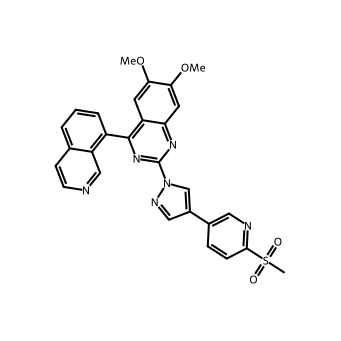 COc1cc2nc(-n3cc(-c4ccc(S(C)(=O)=O)nc4)cn3)nc(-c3cccc4ccncc34)c2cc1OC